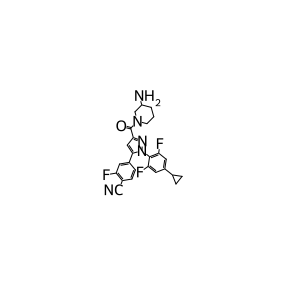 N#Cc1ccc(-c2cc(C(=O)N3CCCC(N)C3)nn2-c2c(F)cc(C3CC3)cc2F)cc1F